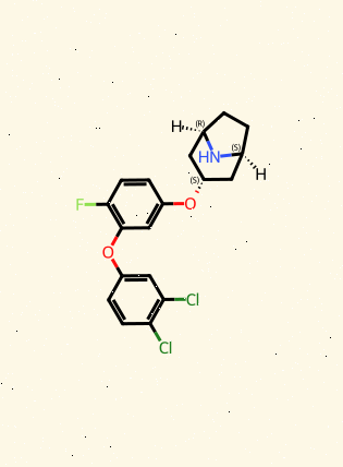 Fc1ccc(O[C@@H]2C[C@H]3CC[C@@H](C2)N3)cc1Oc1ccc(Cl)c(Cl)c1